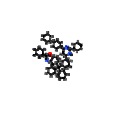 C1=CCCC(c2nc(-c3ccc(-c4ccccc4)cc3)cc(-c3ccc4c(c3)C(c3ccccc3)(c3ccc5oc([C@H]6C=CC=CC6)nc5c3)c3ccccc3-4)n2)=C1